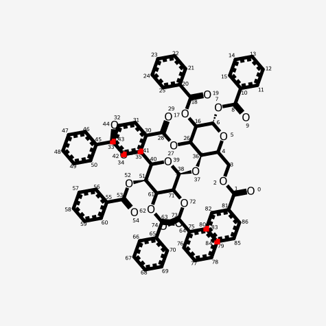 O=C(OCC1O[C@@H](OC(=O)c2ccccc2)C(OC(=O)c2ccccc2)C(OC(=O)c2ccccc2)[C@@H]1O[C@@H]1OC(COC(=O)c2ccccc2)[C@H](OC(=O)c2ccccc2)C(OC(=O)c2ccccc2)C1OC(=O)c1ccccc1)c1ccccc1